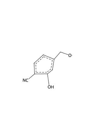 N#Cc1ccc(C[O])cc1O